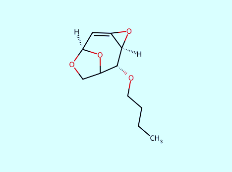 CCCCO[C@@H]1C2CO[C@@H](C=C3O[C@H]31)O2